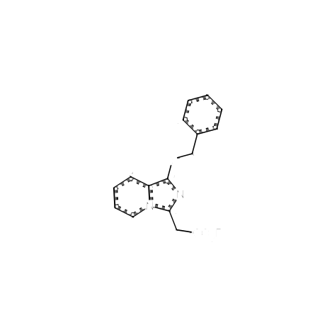 CCOC(=O)Cc1nc(SCc2ccccc2)c2ccccn12